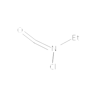 CC[N+](Cl)=C=O